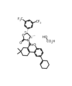 COc1ccc(C2=CCCCC2)cc1C1=C(CN2C(=O)O[C@H](c3cc(C(F)(F)F)cc(C(F)(F)F)c3)[C@@H]2C)CC(C)(C)CC1.O=C(O)O